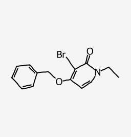 CCn1ccc(OCc2ccccc2)c(Br)c1=O